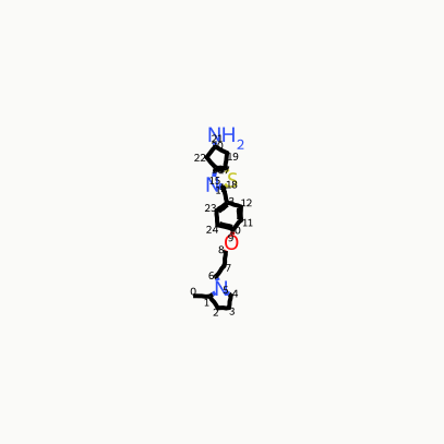 CC1CCCN1CCCOc1ccc(-c2nc3c(s2)CC(N)C3)cc1